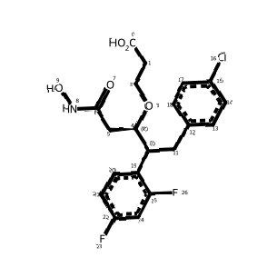 O=C(O)CCO[C@H](CC(=O)NO)C(Cc1ccc(Cl)cc1)c1ccc(F)cc1F